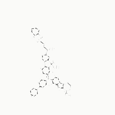 CCC/C(=C\C=C1/COc2ccccc2O1)c1ccc2c(c1)C(C)(C)c1cc(N(c3ccc(-c4ccccc4)cc3)c3ccc4c5c(oc4c3)C(C)CC=C5)ccc1-2